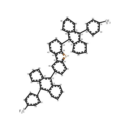 FC(F)(F)c1ccc(-c2c3ccccc3c(-c3ccc4sc5c(-c6c7ccccc7c(-c7ccc(C(F)(F)F)cc7)c7ccccc67)cccc5c4c3)c3ccccc23)cc1